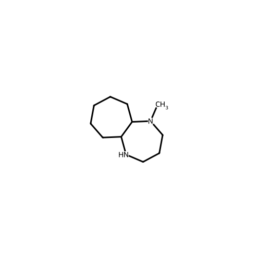 CN1CCCNC2CCCCCC21